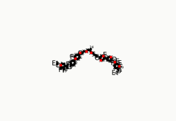 CCOc1ccc(C(F)(F)Oc2ccc(-c3ccc(OCCCCC(C)CCCCOc4ccc(-c5ccc(OC(F)(F)c6ccc(OCC)c(F)c6F)cc5)c(F)c4)cc3F)cc2)c(F)c1F